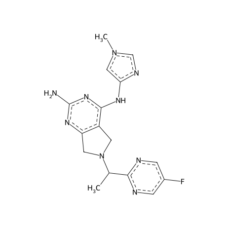 CC(c1ncc(F)cn1)N1Cc2nc(N)nc(Nc3cn(C)cn3)c2C1